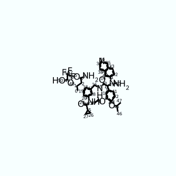 CCCC(N)=O.CCOc1cc(C(C(=O)NCc2cccc(NC(=O)C3CC3)c2)N(N)c2ccc3cnccc3c2)ccc1OC(C)C.O=C(O)C(F)(F)F